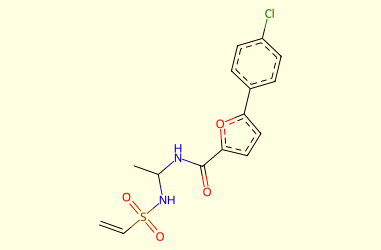 C=CS(=O)(=O)NC(C)NC(=O)c1ccc(-c2ccc(Cl)cc2)o1